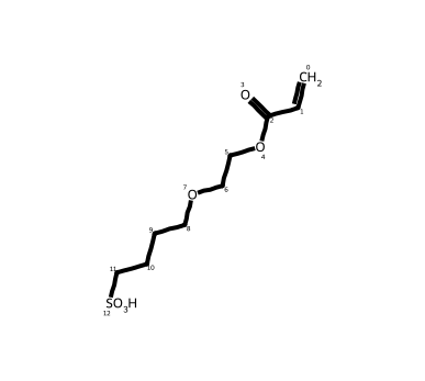 C=CC(=O)OCCOCCCCS(=O)(=O)O